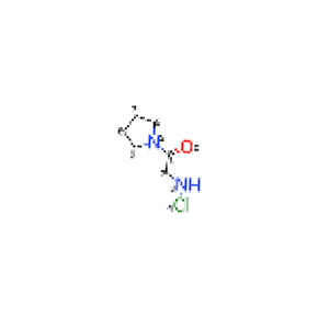 O=C(CNCl)N1CCCC1